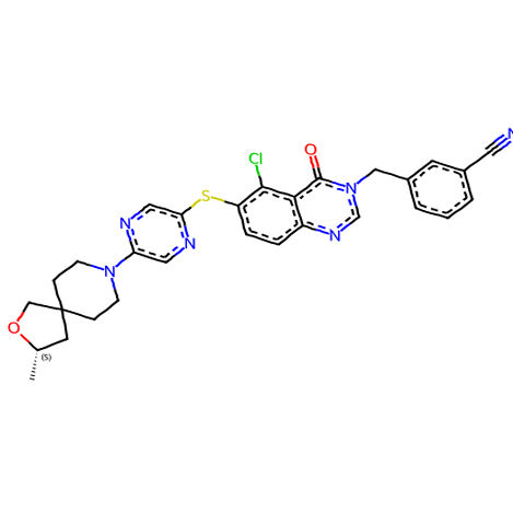 C[C@H]1CC2(CCN(c3cnc(Sc4ccc5ncn(Cc6cccc(C#N)c6)c(=O)c5c4Cl)cn3)CC2)CO1